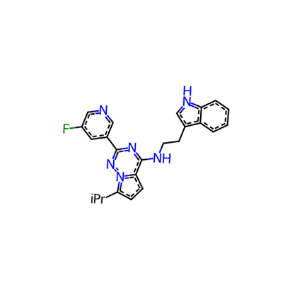 CC(C)c1ccc2c(NCCc3c[nH]c4ccccc34)nc(-c3cncc(F)c3)nn12